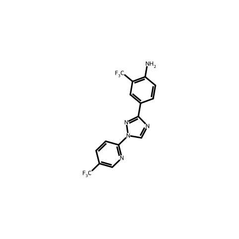 Nc1ccc(-c2ncn(-c3ccc(C(F)(F)F)cn3)n2)cc1C(F)(F)F